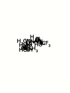 Cc1nc(NCc2cnn(CC(O)C(F)(F)F)c2)nc2c1NC(=O)[C@@](O)(C(C)C)N2C